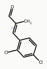 C/C(C=O)=C\c1ccc(Cl)cc1Cl